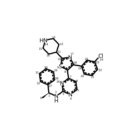 C[C@H](Nc1nccc(-c2sc(C3CCNCC3)nc2-c2cccc(Cl)c2)n1)c1ccccc1